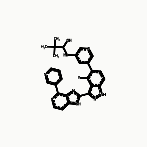 CC(C)(C)C(O)Nc1cncc(-c2ccc3[nH]nc(-c4nc5c(-c6cccnc6)nccc5[nH]4)c3c2F)c1